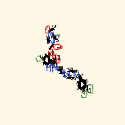 CC(=O)N1CCN(C(=O)COc2cc(Cl)ccc2C(=O)NCCN2CCN(Cc3ccc(Cl)c(Cl)c3)CC2)CC1